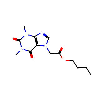 CCCCOC(=O)Cn1cnc2c1c(=O)n(C)c(=O)n2C